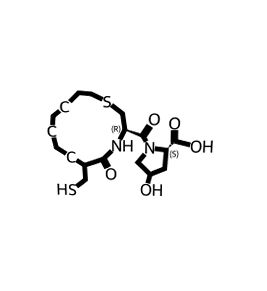 O=C1N[C@H](C(=O)N2CC(O)C[C@H]2C(=O)O)CSCCCCCCCC1CS